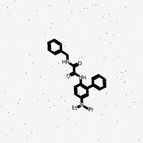 CCN(c1ccc(NC(=O)C(=O)NCc2ccccc2)c(-c2ccccc2)c1)C(C)C